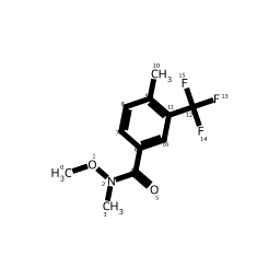 CON(C)C(=O)c1ccc(C)c(C(F)(F)F)c1